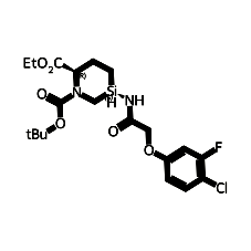 CCOC(=O)[C@H]1CC[Si@H](NC(=O)COc2ccc(Cl)c(F)c2)CN1C(=O)OC(C)(C)C